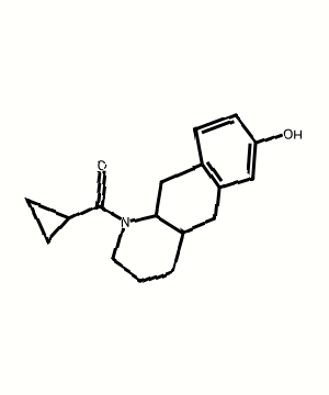 O=C(C1CC1)N1CCCC2Cc3cc(O)ccc3CC21